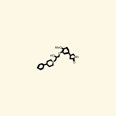 COc1ccc(C2CNC(=O)C2)cc1OCC(O)CN1CCC(c2ccccc2)CC1